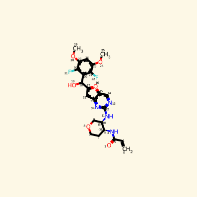 C=CC(=O)N[C@H]1CCOC[C@H]1Nc1ncc2oc(C(O)c3c(F)c(OC)cc(OC)c3F)cc2n1